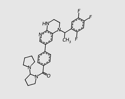 CC(c1cc(F)c(F)cc1F)N1CCNc2ncc(-c3ccc(C(=O)N4CCCC4N4CCCC4)cc3)cc21